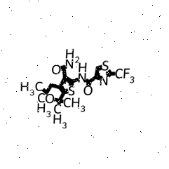 CC1(C)Cc2c(sc(NC(=O)c3csc(C(F)(F)F)n3)c2C(N)=O)C(C)(C)O1